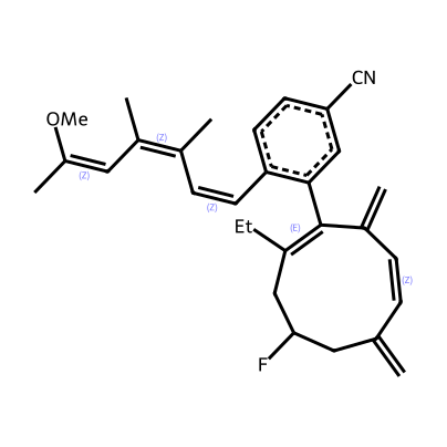 C=C1/C=C\C(=C)/C(c2cc(C#N)ccc2\C=C/C(C)=C(C)\C=C(\C)OC)=C(/CC)CC(F)C1